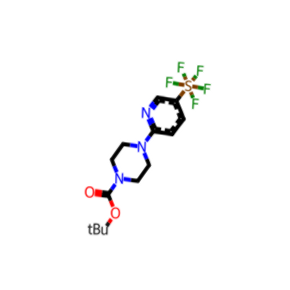 CC(C)(C)OC(=O)N1CCN(c2ccc(S(F)(F)(F)(F)F)cn2)CC1